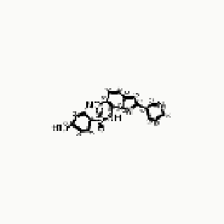 CC(C)(C)c1ccc(S(=O)(=O)Nc2c(C#N)ccc3cc(-c4cccnc4)nn23)cc1